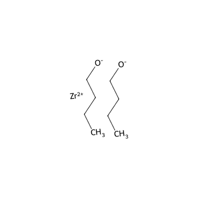 CCCC[O-].CCCC[O-].[Zr+2]